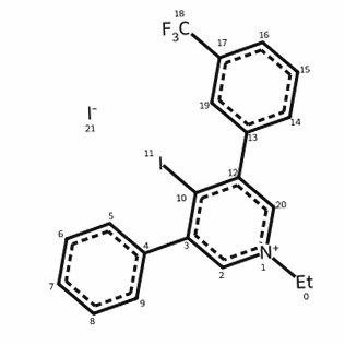 CC[n+]1cc(-c2ccccc2)c(I)c(-c2cccc(C(F)(F)F)c2)c1.[I-]